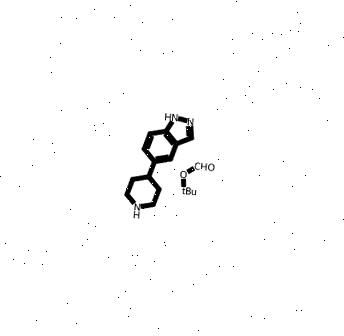 CC(C)(C)OC=O.c1cc2[nH]ncc2cc1C1CCNCC1